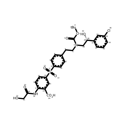 CC(C)(C)OC(=O)N(CCc1ccc(S(=O)(=O)c2ccc(NC(=O)CO)c(C(=O)O)c2)cc1)C[C@H](O)c1cccc(Cl)c1